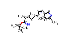 Cc1ccc(/C=C\[C@H](C)[C@H]2C[C@H](C(C)C(=N)OC(C)(C)C)C2)cn1